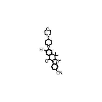 CCc1cc2c(cc1N1CCC(N3CCOCC3)CC1)C(C)(C)c1c(c3ccc(C#N)cc3n1C)C2=O